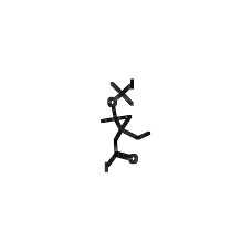 CCC1(CC(=O)I)CC1(C)OC(C)(C)I